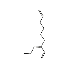 C=CCCCCC(C=C)=CCC